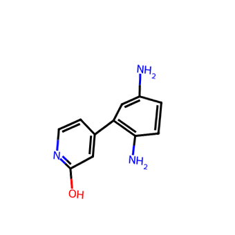 Nc1ccc(N)c(-c2ccnc(O)c2)c1